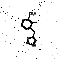 Cc1c(Cc2c[nH]nn2)cccc1C(=O)O